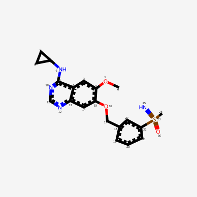 COc1cc2c(NC3CC3)ncnc2cc1OCc1cccc(S(C)(=N)=O)c1